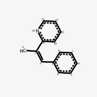 N#CC(=Cc1ccccc1)c1ccccn1